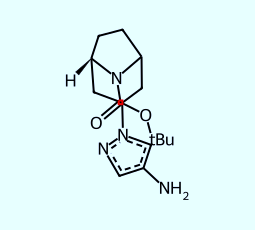 CC(C)(C)OC(=O)N1C2CC[C@H]1CC(n1cc(N)cn1)C2